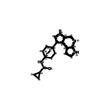 [O-][S+](NC12CCC(c3n[nH]c4cnc5[nH]ccc5c34)(CC1)CC2)C1CC1